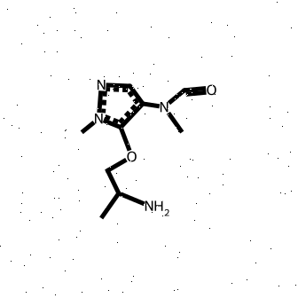 CC(N)COc1c(N(C)C=O)cnn1C